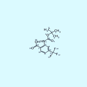 CC(C)(C)OC(=O)Nc1cc(C(F)(F)F)ccc1C(=O)O